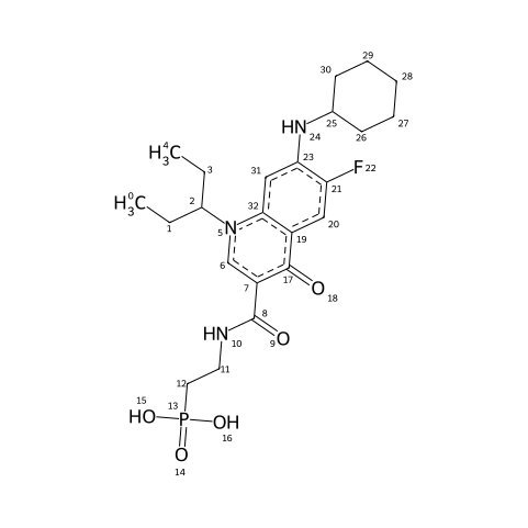 CCC(CC)n1cc(C(=O)NCCP(=O)(O)O)c(=O)c2cc(F)c(NC3CCCCC3)cc21